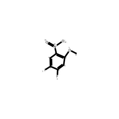 COc1cc(F)c(I)cc1[N+](=O)[O-]